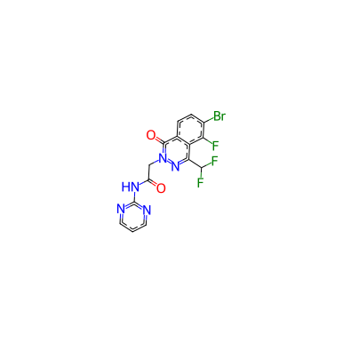 O=C(Cn1nc(C(F)F)c2c(F)c(Br)ccc2c1=O)Nc1ncccn1